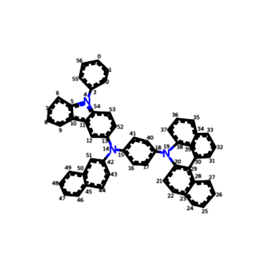 c1ccc(-n2c3ccccc3c3cc(N(c4ccc(N5c6ccc7ccccc7c6-c6cccc7cccc5c67)cc4)c4ccc5ccccc5c4)ccc32)cc1